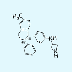 Cc1ccc2c(c1)CC[C@@H](c1ccccc1)[C@H]2c1ccc(NC2CNC2)cc1